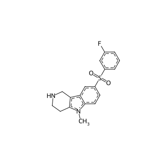 Cn1c2c(c3cc(S(=O)(=O)c4cccc(F)c4)ccc31)CNCC2